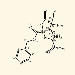 C=CC[N+](C[C@H](N)C(=O)O)(C(=O)OCc1ccccc1)C(=O)C(F)(F)F